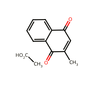 CC(=O)O.CC1=CC(=O)c2ccccc2C1=O